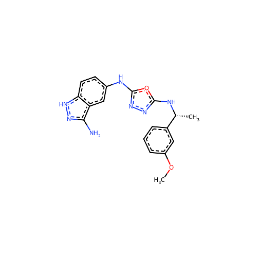 COc1cccc([C@@H](C)Nc2nnc(Nc3ccc4[nH]nc(N)c4c3)o2)c1